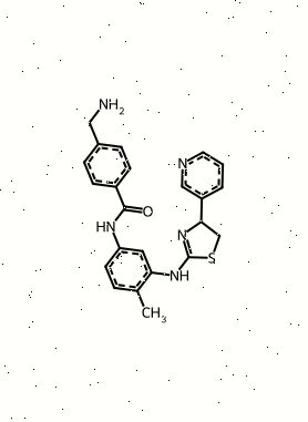 Cc1ccc(NC(=O)c2ccc(CN)cc2)cc1NC1=NC(c2cccnc2)CS1